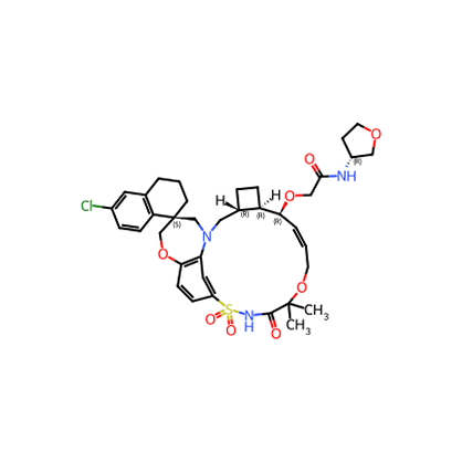 CC1(C)OCC=C[C@H](OCC(=O)N[C@@H]2CCOC2)[C@@H]2CC[C@H]2CN2C[C@@]3(CCCc4cc(Cl)ccc43)COc3ccc(cc32)S(=O)(=O)NC1=O